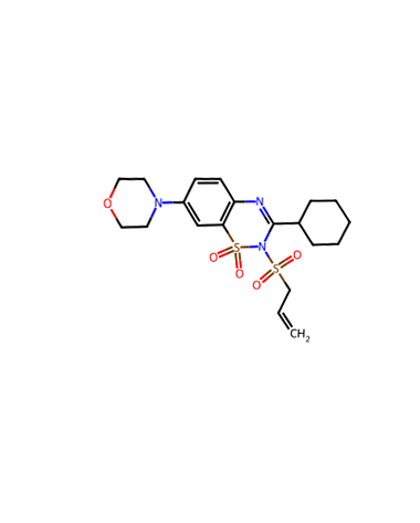 C=CCS(=O)(=O)N1C(C2CCCCC2)=Nc2ccc(N3CCOCC3)cc2S1(=O)=O